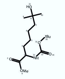 COC(=O)C(CCCCC(C)(C)O)NC(=O)OC(C)(C)C